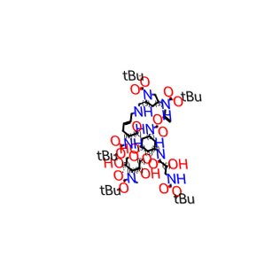 C=C(C)OC(=O)N[C@H]1C[C@@H](NC(=O)[C@@H](O)CNC(=O)OC(C)(C)C)[C@H](O[C@H]2OC[C@](C)(O)[C@H](N(C)C(=O)OC(C)(C)C)[C@H]2O)[C@@H](O)C1[C@H]1OC(CNC[C@@H]2C[C@H](NC(=O)OC(C)(C)C)CN2C(=O)OC(C)(C)C)=CC[C@H]1NC(=O)OC(C)(C)C